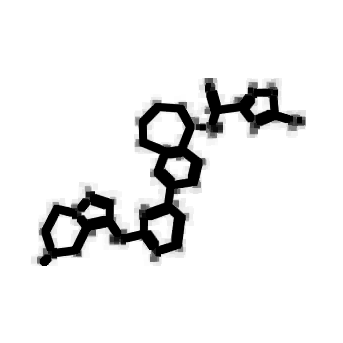 CN1CCn2ncc(Nc3nccc(-c4ccc5c(c4)CCCC[C@@H]5NC(=O)c4noc(C(C)(C)C)n4)n3)c2C1